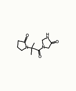 CC(C)(C(=O)N1CNC(=O)C1)N1CCCC1=O